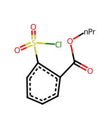 CCCOC(=O)c1ccccc1S(=O)(=O)Cl